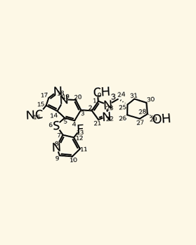 Cc1c(-c2cc(Sc3ncccc3F)c3c(C#N)cnn3c2)cnn1C[C@H]1CC[C@@H](O)CC1